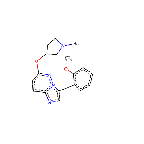 CCN1CCC(Oc2ccc3ncc(-c4ccccc4OC(F)(F)F)n3n2)C1